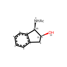 CC(=O)N[C@@H]1c2ccccc2C[C@@H]1O